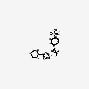 CC1(C)[C@H](c2ccc(S(N)(=O)=O)cc2)[C@H]1c1noc(C2CCCCC2)n1